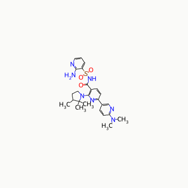 CC1CCN(c2nc(-c3ccc(N(C)C)nc3)ccc2C(=O)NS(=O)(=O)c2cccnc2N)C1(C)C